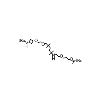 C[C@H](OCCCOCCNC(C)(C)CCC(C)(C)COCCO[C@H]1C[C@@H](NC(C)(C)C)C1)C(C)(C)C